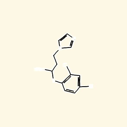 CCCCCCC(CCn1ccnc1)Sc1ccc(Cl)cc1Cl